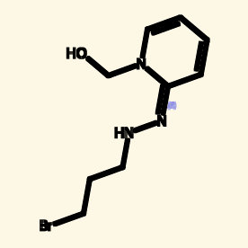 OCn1cccc/c1=N/NCCCBr